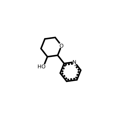 OC1CCCOC1c1ccccn1